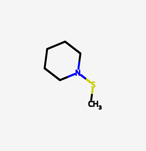 CSN1CCCCC1